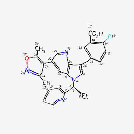 CC[C@@H](c1ccccn1)n1cc(-c2ccc(F)c(C(=O)O)c2)c2ncc(-c3c(C)noc3C)cc21